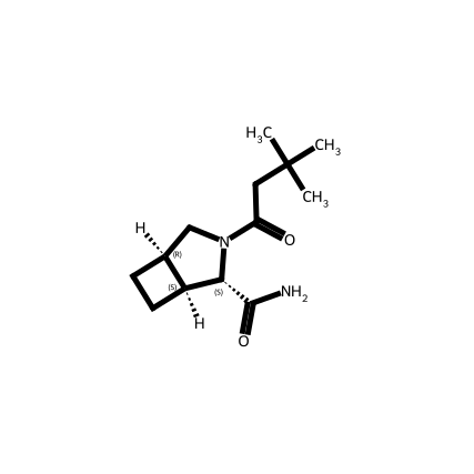 CC(C)(C)CC(=O)N1C[C@@H]2CC[C@@H]2[C@H]1C(N)=O